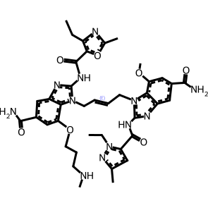 CCc1nc(C)oc1C(=O)Nc1nc2cc(C(N)=O)cc(OCCCNC)c2n1C/C=C/Cn1c(NC(=O)c2cc(C)nn2CC)nc2cc(C(N)=O)cc(OC)c21